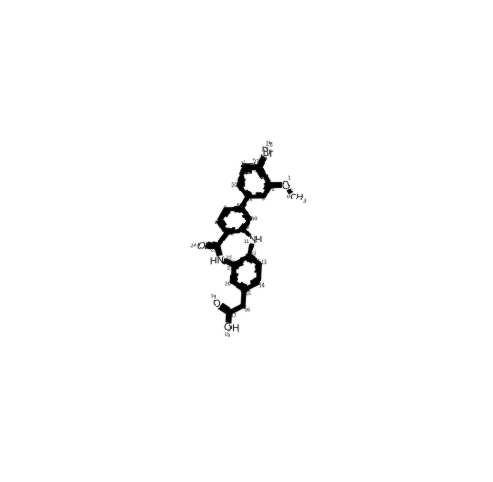 COc1cc(-c2ccc3c(c2)Nc2ccc(CC(=O)O)cc2NC3=O)ccc1Br